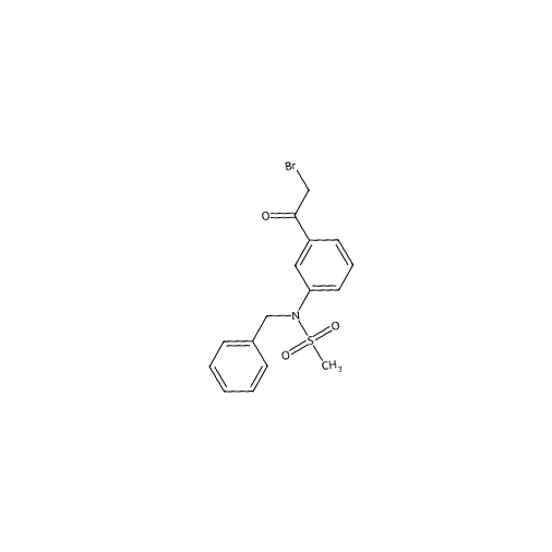 CS(=O)(=O)N(Cc1ccccc1)c1cccc(C(=O)CBr)c1